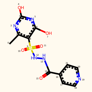 Cc1nc(O)nc(O)c1S(=O)(=O)NNC(=O)c1ccncc1